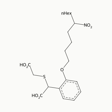 CCCCCCC(CCCCOc1ccccc1C(SCC(=O)O)C(=O)O)[N+](=O)[O-]